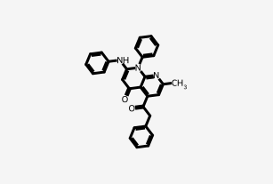 Cc1cc(C(=O)Cc2ccccc2)c2c(=O)cc(Nc3ccccc3)n(-c3ccccc3)c2n1